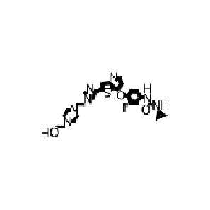 O=C(Nc1ccc(Oc2ccnc3cc(-c4cn(CCN5CCN(CCO)CC5)cn4)sc23)c(F)c1)NC1CC1